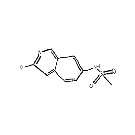 CS(=O)(=O)Nc1ccc2cc(Br)ncc2c1